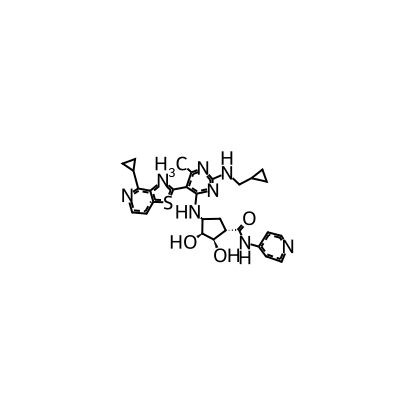 Cc1nc(NCC2CC2)nc(N[C@@H]2C[C@H](C(=O)Nc3ccncc3)[C@@H](O)[C@H]2O)c1-c1nc2c(C3CC3)nccc2s1